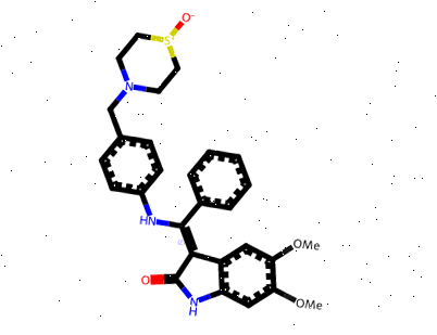 COc1cc2c(cc1OC)/C(=C(/Nc1ccc(CN3CC[S+]([O-])CC3)cc1)c1ccccc1)C(=O)N2